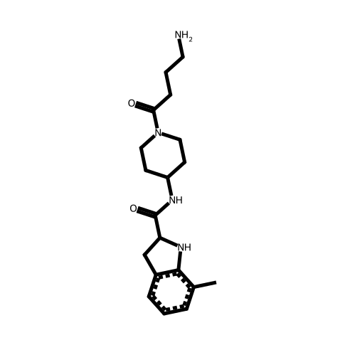 Cc1cccc2c1NC(C(=O)NC1CCN(C(=O)CCCN)CC1)C2